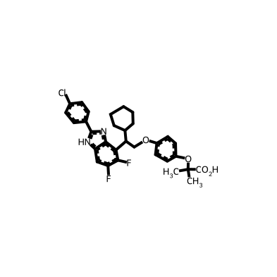 CC(C)(Oc1ccc(OCC(c2c(F)c(F)cc3[nH]c(-c4ccc(Cl)cc4)nc23)C2CCCCC2)cc1)C(=O)O